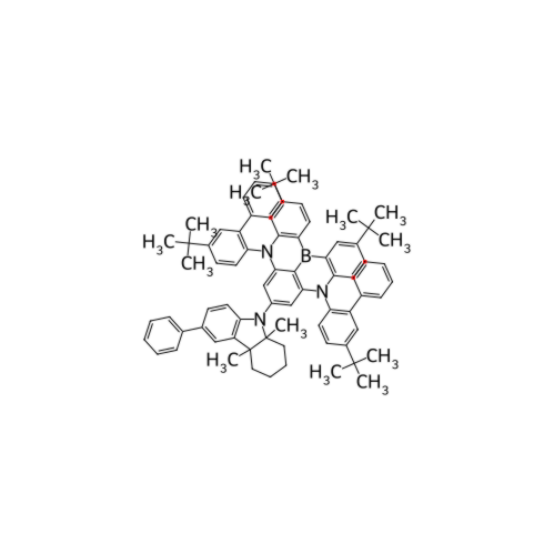 CC(C)(C)c1ccc2c(c1)B1c3ccc(C(C)(C)C)cc3N(c3ccc(C(C)(C)C)cc3-c3ccccc3)c3cc(N4c5ccc(-c6ccccc6)cc5C5(C)CCCCC45C)cc(c31)N2c1ccc(C(C)(C)C)cc1-c1ccccc1